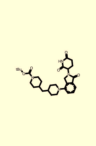 CC(C)(C)OC(=O)N1CCC(CC2CCN(c3cccc4c3CN(C3CCC(=O)NC3=O)C4=O)CC2)CC1